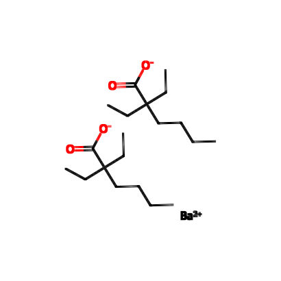 CCCCC(CC)(CC)C(=O)[O-].CCCCC(CC)(CC)C(=O)[O-].[Ba+2]